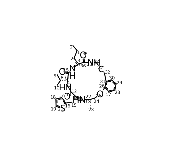 CCC[C@@H]1NC(=O)[C@@H](C(C)C)NC(=O)[C@@H](Cc2cccs2)N[C@@H](C)COc2ccccc2CCCNC1=O